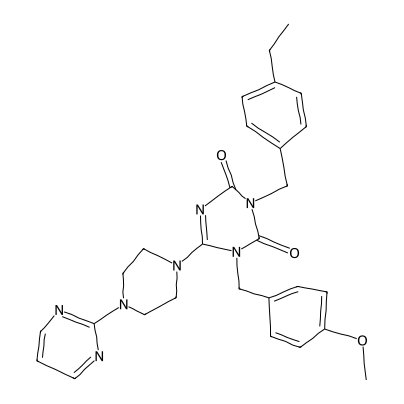 CCc1ccc(Cn2c(=O)nc(N3CCN(c4ncccn4)CC3)n(Cc3ccc(OC)cc3)c2=O)cc1